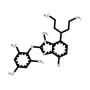 CCCC(CCC)c1ccc(Cl)c2nc(Oc3c(C)cc(C)cc3C)n(C)c12